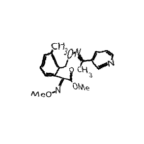 CO/N=C(/C(=O)OC)c1cccc(C)c1CO/N=C(\C)c1cccnc1